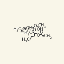 C=CC(=O)OC(C)O.C=CC(=O)OCC(CC)CCCC.C=COC(C)=O